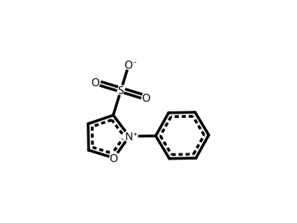 O=S(=O)([O-])c1cco[n+]1-c1ccccc1